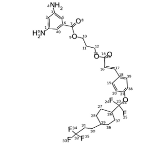 Nc1cc(N)cc(C(=O)OCCCOC(=O)/C=C/c2ccc(OC(F)(F)C3CCC(CCC(F)(F)F)CC3)cc2)c1